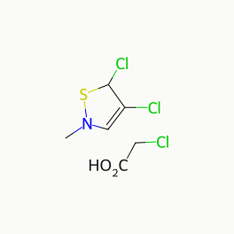 CN1C=C(Cl)C(Cl)S1.O=C(O)CCl